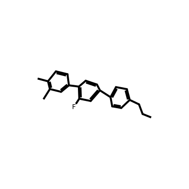 CCCc1ccc(-c2ccc(-c3ccc(C)c(C)c3)c(F)c2)cc1